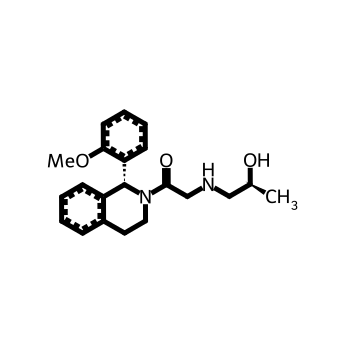 COc1ccccc1[C@H]1c2ccccc2CCN1C(=O)CNC[C@H](C)O